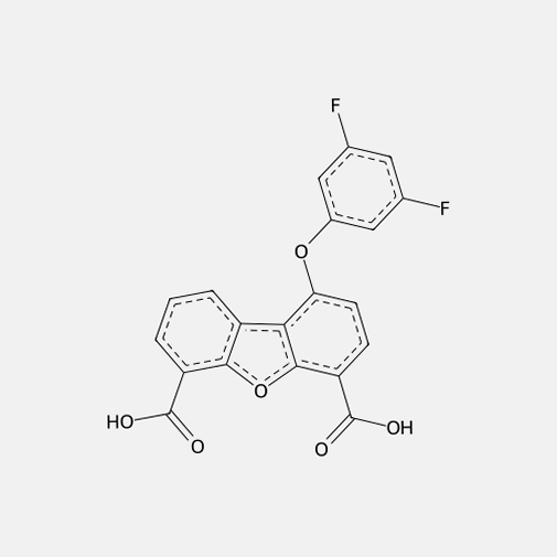 O=C(O)c1cccc2c1oc1c(C(=O)O)ccc(Oc3cc(F)cc(F)c3)c12